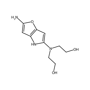 Nc1cc2[nH]c(N(CCO)CCO)cc2o1